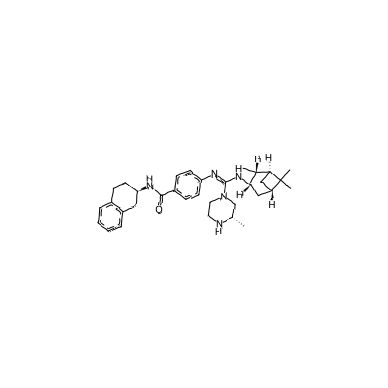 C[C@H]1[C@@H](NC(=Nc2ccc(C(=O)N[C@@H]3CCc4ccccc4C3)cc2)N2CCN[C@@H](C)C2)C[C@@H]2C[C@@H]1C2(C)C